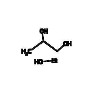 CC(O)CO.CCO